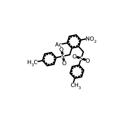 CC(=O)c1ccc([N+](=O)[O-])c(CS(=O)(=O)c2ccc(C)cc2)c1CS(=O)(=O)c1ccc(C)cc1